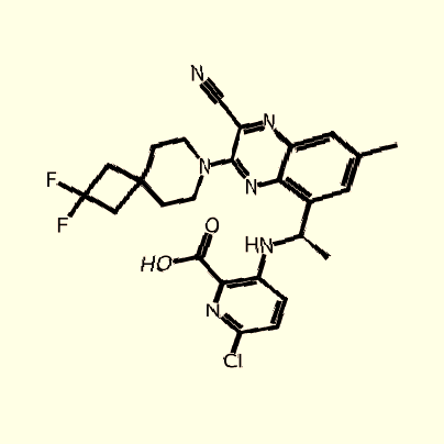 Cc1cc([C@@H](C)Nc2ccc(Cl)nc2C(=O)O)c2nc(N3CCC4(CC3)CC(F)(F)C4)c(C#N)nc2c1